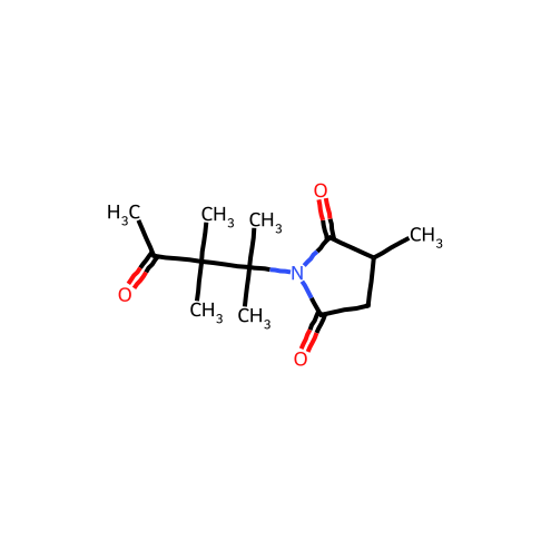 CC(=O)C(C)(C)C(C)(C)N1C(=O)CC(C)C1=O